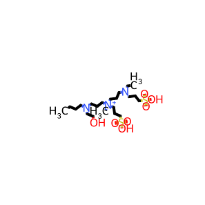 CCCCN(CCO)CCC[N+](C)(CCCN(CC)CCCS(=O)(=O)O)CCCS(=O)(=O)O